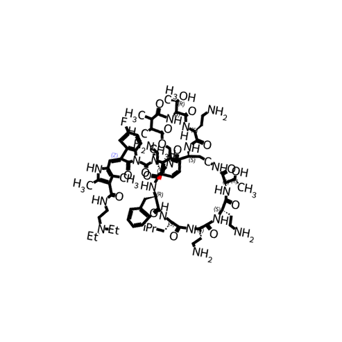 CCN(CC)CCNC(=O)c1c(C)[nH]c(/C=C2\C(=O)N(C(=O)N(C)c3c(F)cccc3COC(=O)C(C)C(C)C(=O)N[C@H](C(=O)N[C@@H](CCN)C(=O)N[C@H]3CCNC(=O)[C@H]([C@@H](C)O)NC(=O)[C@H](CCN)NC(=O)[C@H](CCN)NC(=O)[C@H](CC(C)C)NC(=O)[C@@H](Cc4ccccc4)NC(=O)[C@H](CCN)NC3=O)[C@@H](C)O)c3ccc(F)cc32)c1C